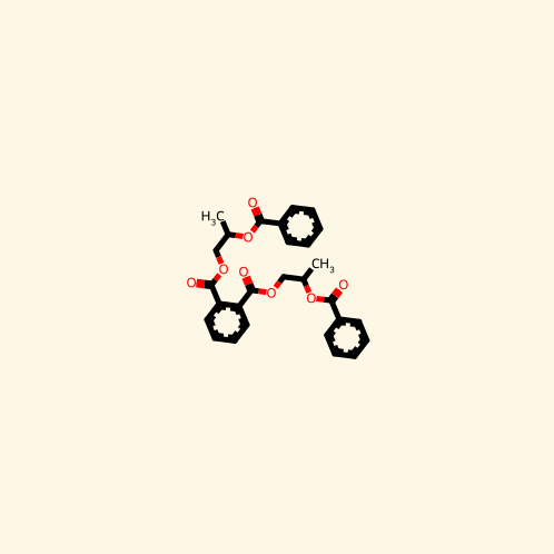 CC(COC(=O)c1ccccc1C(=O)OCC(C)OC(=O)c1ccccc1)OC(=O)c1ccccc1